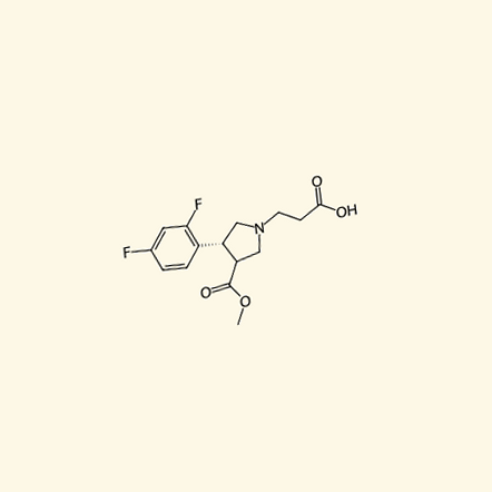 COC(=O)C1CN(CCC(=O)O)C[C@H]1c1ccc(F)cc1F